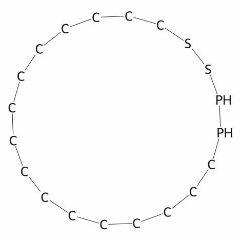 C1CCCCCCCCSSPPCCCCCCC1